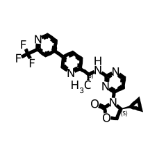 C[C@H](Nc1nccc(N2C(=O)OC[C@@H]2C2CC2)n1)c1ccc(-c2ccnc(C(F)(F)F)c2)cn1